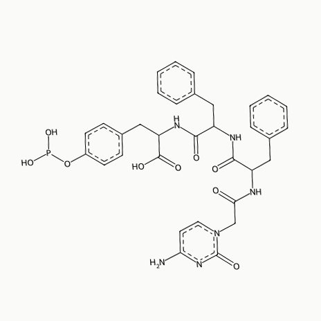 Nc1ccn(CC(=O)NC(Cc2ccccc2)C(=O)NC(Cc2ccccc2)C(=O)NC(Cc2ccc(OP(O)O)cc2)C(=O)O)c(=O)n1